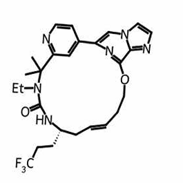 CCN1C(=O)N[C@@H](CCC(F)(F)F)C/C=C/CCOc2nc(cn3ccnc23)-c2ccnc(c2)C1(C)C